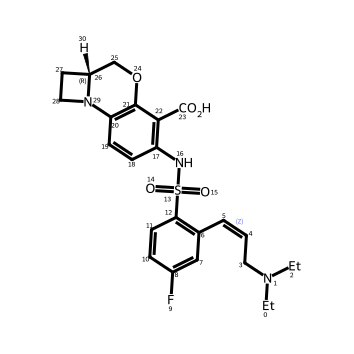 CCN(CC)C/C=C\c1cc(F)ccc1S(=O)(=O)Nc1ccc2c(c1C(=O)O)OC[C@H]1CCN21